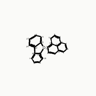 C1=Cc2cccc3cccc(c23)C1.c1ccc2c(c1)oc1ccccc12